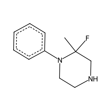 CC1(F)CNCCN1c1ccccc1